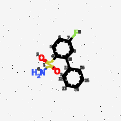 NS(=O)(=O)c1ccc(F)cc1-c1ccccc1